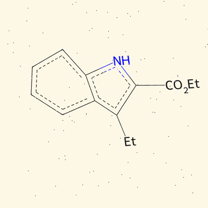 [CH2]Cc1c(C(=O)OCC)[nH]c2ccccc12